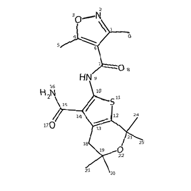 Cc1noc(C)c1C(=O)Nc1sc2c(c1C(N)=O)CC(C)(C)OC2(C)C